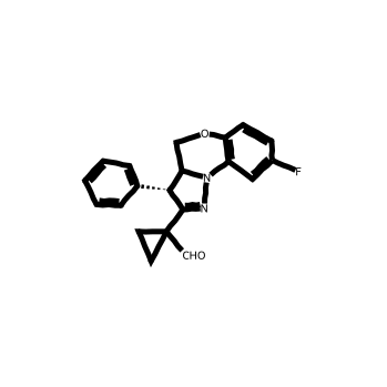 O=CC1(C2=NN3c4cc(F)ccc4OCC3[C@H]2c2ccccc2)CC1